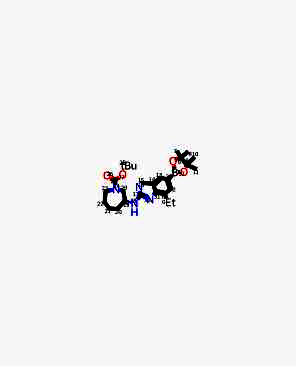 CCc1cc(B2OC(C)(C)C(C)(C)O2)cc2cnc(N[C@H]3CCCCN(C(=O)OC(C)(C)C)C3)nc12